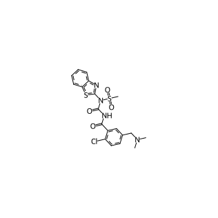 CN(C)Cc1ccc(Cl)c(C(=O)NC(=O)N(c2nc3ccccc3s2)S(C)(=O)=O)c1